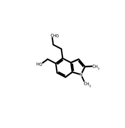 Cc1cc2c(CCC=O)c(CO)ccc2n1C